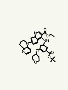 CCOC(=O)c1cnc2cc(N3CCCc4ncccc43)ccc2c1Nc1cc(OC2CCOCC2)cc(C(=O)OC(C)(C)C)c1